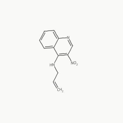 C=CCNc1c([N+](=O)[O-])cnc2ccccc12